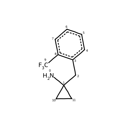 NC1(Cc2ccccc2C(F)(F)F)CC1